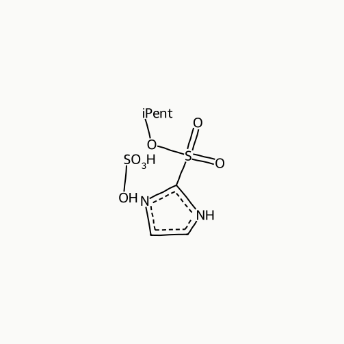 CCCC(C)OS(=O)(=O)c1ncc[nH]1.O=S(=O)(O)O